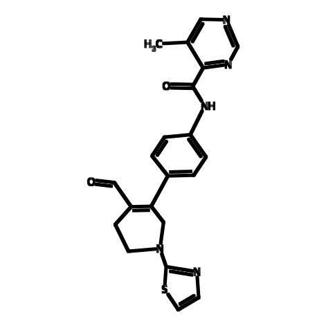 Cc1cncnc1C(=O)Nc1ccc(C2=C(C=O)CCN(c3nccs3)C2)cc1